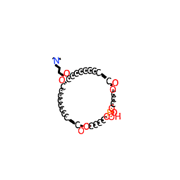 CN(C)CCCC(=O)OC1CCCCCCCC/C=C\CC(=O)OCCCCOP(=O)(O)OCCCOC(=O)C/C=C\CCCCCCCC1